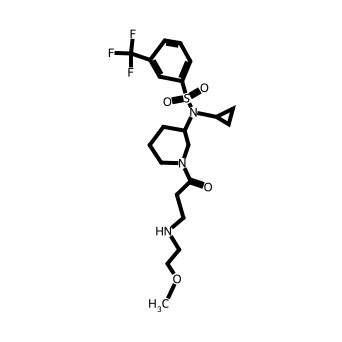 COCCNCCC(=O)N1CCCC(N(C2CC2)S(=O)(=O)c2cccc(C(F)(F)F)c2)C1